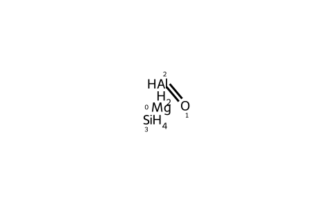 [MgH2].[O]=[AlH].[SiH4]